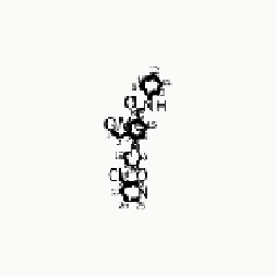 CO/C=C\c1cc(C(=O)Nc2ccccc2)ccc1N1CCC(Oc2ncccc2Cl)C1